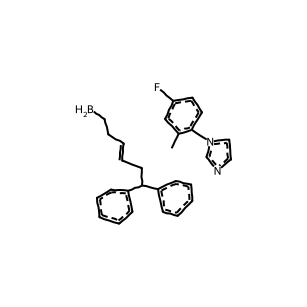 BCCC=CCC(c1ccccc1)c1ccccc1.Cc1cc(F)ccc1-n1ccnc1